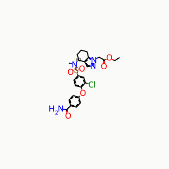 CCOC(=O)Cn1ncc2c1CCC[C@H]2N(C)S(=O)(=O)c1ccc(Oc2ccc(C(N)=O)cc2)c(Cl)c1